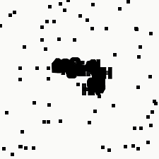 O=C1NCCN1CCNc1nccc(-c2ccc(S(=O)(=O)C3CCc4ccccc4N3)s2)n1